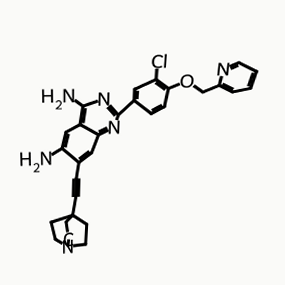 Nc1cc2c(N)nc(-c3ccc(OCc4ccccn4)c(Cl)c3)nc2cc1C#CC12CCN(CC1)CC2